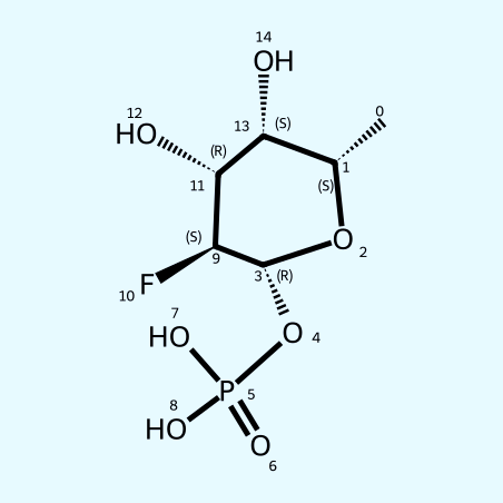 C[C@@H]1O[C@H](OP(=O)(O)O)[C@@H](F)[C@H](O)[C@@H]1O